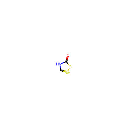 O=C1NC=[SH]S1